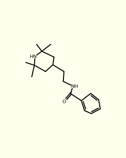 CC1(C)CC(CCNC(=O)c2ccccc2)CC(C)(C)N1